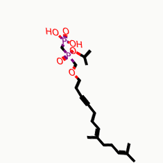 CC(C)=CCCC(C)=CCCC#CCCOCP(=O)(CP(=O)(O)O)OC(C)C